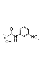 C[C@@H](O)C(=O)Nc1cccc([N+](=O)[O-])c1